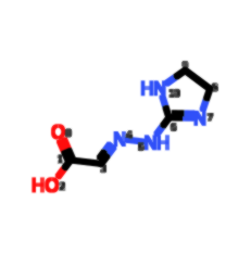 O=C(O)C=NNC1=NCCN1